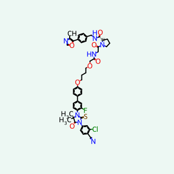 Cc1ncoc1-c1ccc(CNC(=O)[C@@H]2CCCN2C(=O)CNC(=O)COCCCCOc2ccc(-c3ccc(N4C(=S)N(c5ccc(C#N)c(Cl)c5)C(=O)C4(C)C)c(F)c3)cc2)cc1